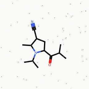 CC(C)C(=O)C1CC(C#N)C(C)N1C(C)C